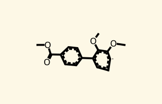 COC(=O)c1ccc(-c2cc[c]c(OC)c2OC)cc1